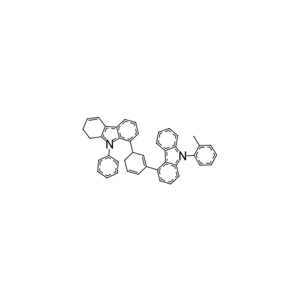 Cc1ccccc1-n1c2ccccc2c2c(C3=CC(c4cccc5c6c(n(-c7ccccc7)c45)CCC=C6)CC=C3)cccc21